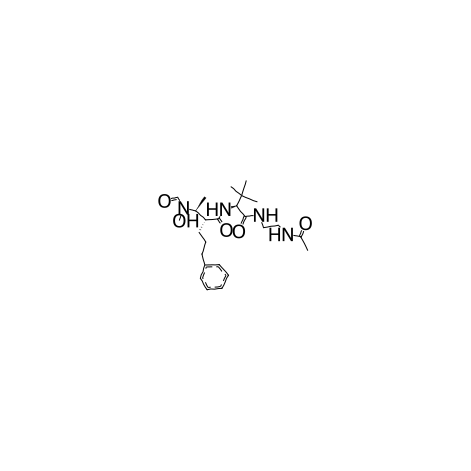 CC(=O)NCCNC(=O)[C@@H](NC(=O)[C@H](CCCc1ccccc1)[C@H](C)N(O)C=O)C(C)(C)C